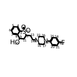 O=S1(=O)c2ccccc2C(O)CC1CCN1CCN(c2ccc(F)cc2)CC1